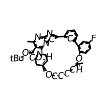 Cc1nc2nc3cn2c(c1[C@H](OC(C)(C)C)C(=O)O)N1CCC(C)(CC1)OCCCC[C@@H](C)Oc1ccc(F)cc1-c1cccc-3c1